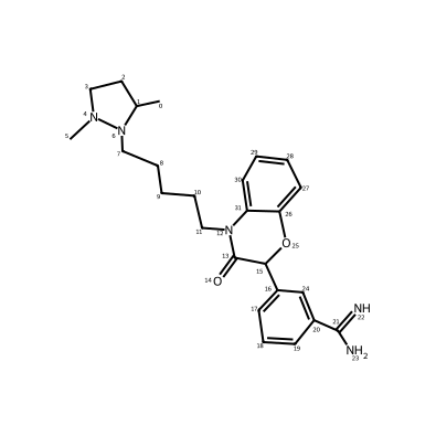 CC1CCN(C)N1CCCCCN1C(=O)C(c2cccc(C(=N)N)c2)Oc2ccccc21